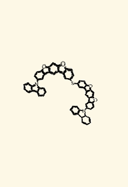 C1=CC2c3ccccc3N(c3ccc4oc5cc6oc7ccc(Sc8ccc9oc%10cc%11oc%12ccc(-n%13c%14ccccc%14c%14ccccc%14%13)cc%12c%11cc%10c9c8)cc7c6cc5c4c3)C2C=C1